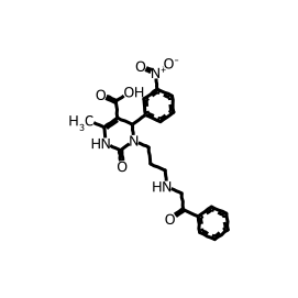 CC1=C(C(=O)O)C(c2cccc([N+](=O)[O-])c2)N(CCCNCC(=O)c2ccccc2)C(=O)N1